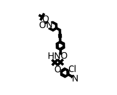 CC(C)(C)OC(=O)N1CCC(CC#Cc2ccc(C(=O)NC3C(C)(C)C(Oc4ccc(C#N)c(Cl)c4)C3(C)C)cc2)CC1